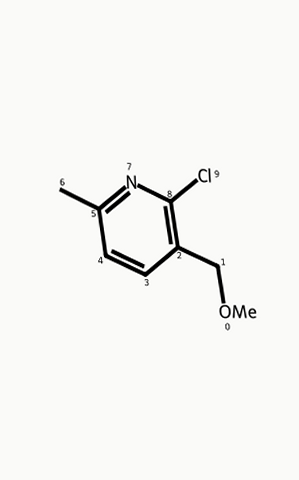 COCc1ccc(C)nc1Cl